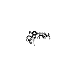 NC1=N[C@@](c2cc(NC(=O)c3cnc(C(F)F)cn3)ccc2F)(C(F)F)CCCO1